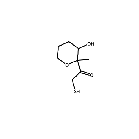 CC1(C(=O)CS)OCCCC1O